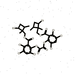 CCC1CC(C)C1(C)COC(=O)c1c(Cl)c(Cl)cc(Cl)c1OC(=O)C(=O)Oc1c(Cl)cc(Cl)c(Cl)c1C(=O)OCC1(C)C(C)CC1CC